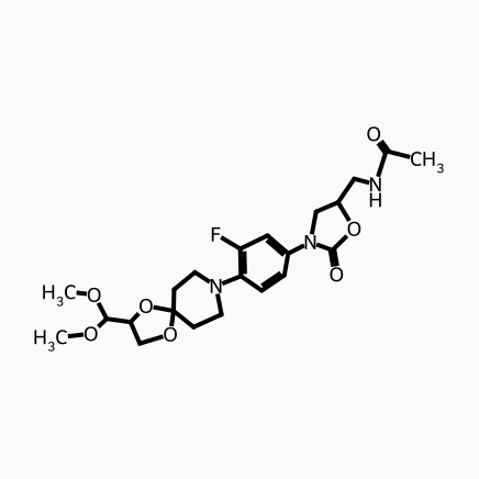 COC(OC)C1COC2(CCN(c3ccc(N4CC(CNC(C)=O)OC4=O)cc3F)CC2)O1